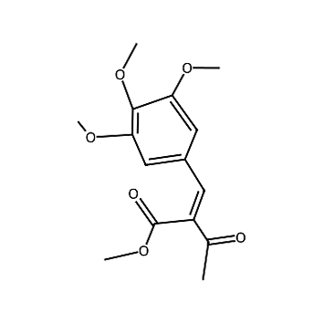 COC(=O)C(=Cc1cc(OC)c(OC)c(OC)c1)C(C)=O